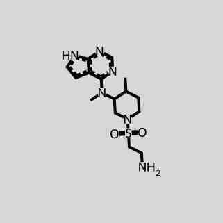 CC1CCN(S(=O)(=O)CCN)CC1N(C)c1ncnc2[nH]ccc12